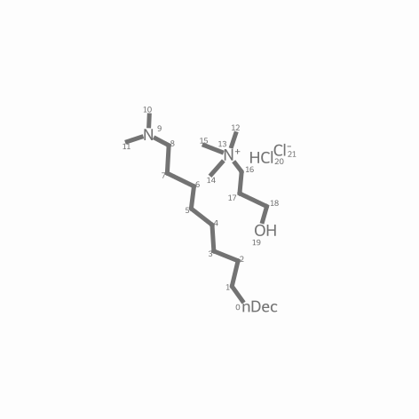 CCCCCCCCCCCCCCCCCCN(C)C.C[N+](C)(C)CCCO.Cl.[Cl-]